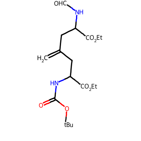 C=C(CC(NC=O)C(=O)OCC)CC(NC(=O)OC(C)(C)C)C(=O)OCC